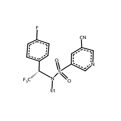 CCN([C@@H](c1ccc(F)cc1)C(F)(F)F)S(=O)(=O)c1cncc(C#N)c1